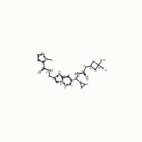 Cn1nccc1C(=O)NCc1cn2ncc(C(NC(=O)CC3CC(F)(F)C3)C3CC3)cc2n1